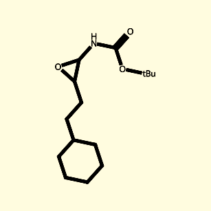 CC(C)(C)OC(=O)NC1OC1CCC1CCCCC1